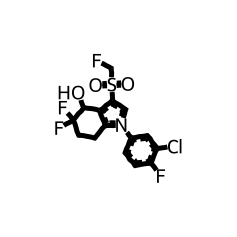 O=S(=O)(CF)c1cn(-c2ccc(F)c(Cl)c2)c2c1C(O)C(F)(F)CC2